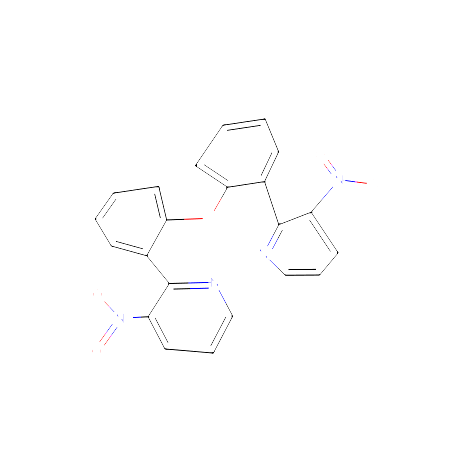 O=[N+]([O-])c1cccnc1-c1ccccc1Oc1ccccc1-c1ncccc1[N+](=O)[O-]